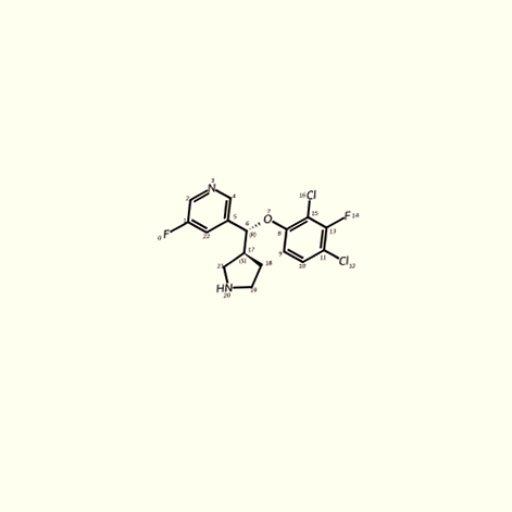 Fc1cncc([C@H](Oc2ccc(Cl)c(F)c2Cl)[C@H]2CCNC2)c1